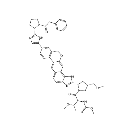 COC[C@H]1C[C@@H](c2nc3ccc4cc5c(cc4c3[nH]2)OCc2cc(-c3cnc([C@@H]4CCCN4C(=O)[CH]c4ccccc4)[nH]3)ccc2-5)N(C(=O)[C@@H](NC(=O)OC)C(C)OC)C1